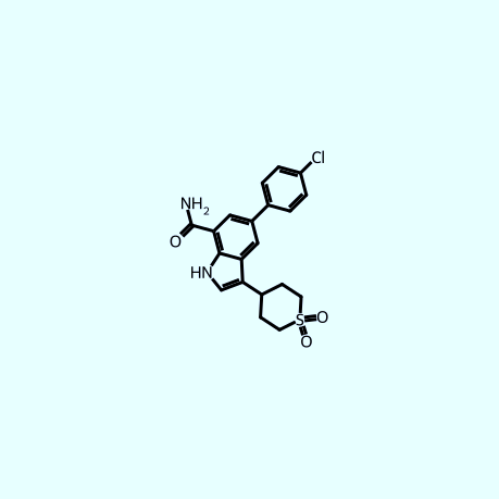 NC(=O)c1cc(-c2ccc(Cl)cc2)cc2c(C3CCS(=O)(=O)CC3)c[nH]c12